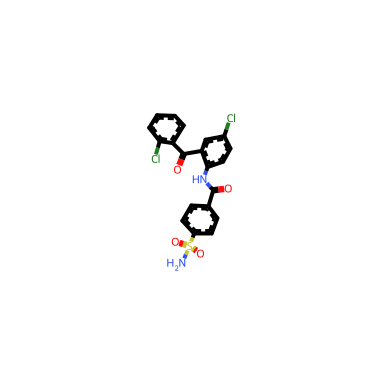 NS(=O)(=O)c1ccc(C(=O)Nc2ccc(Cl)cc2C(=O)c2ccccc2Cl)cc1